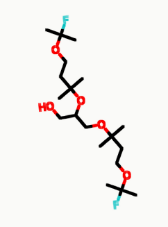 CC(C)(F)OCCC(C)(C)OCC(CO)OC(C)(C)CCOC(C)(C)F